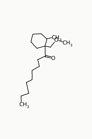 CCCCCCCCC(=O)C1(COC)CCCCC1C